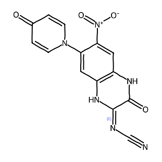 N#C/N=c1/[nH]c2cc(-n3ccc(=O)cc3)c([N+](=O)[O-])cc2[nH]c1=O